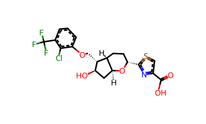 O=C(O)c1csc([C@H]2CC[C@@H]3[C@@H](COc4cccc(C(F)(F)F)c4Cl)[C@H](O)C[C@@H]3O2)n1